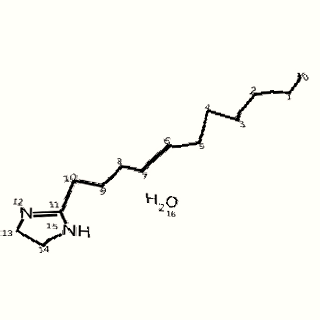 CCCCCCCCCCCC1=NCCN1.O